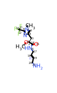 CO[C@@H](Cc1cn(C)c(C(F)(F)F)n1)C(=O)NC/C=C/CN